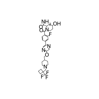 NC(=O)C1CC(O)CCN1C(=O)c1ccc(-c2cnc(OCC3CCN(CC4(C(F)(F)F)CCC4)CC3)cn2)cc1F